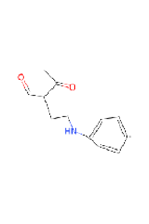 CC(=O)C(C=O)CCNc1cc[c]cc1